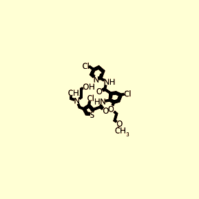 CCN(CCO)Cc1csc(C(=O)Nc2c(OCCOC)cc(Cl)cc2C(=O)Nc2ccc(Cl)cn2)c1Cl